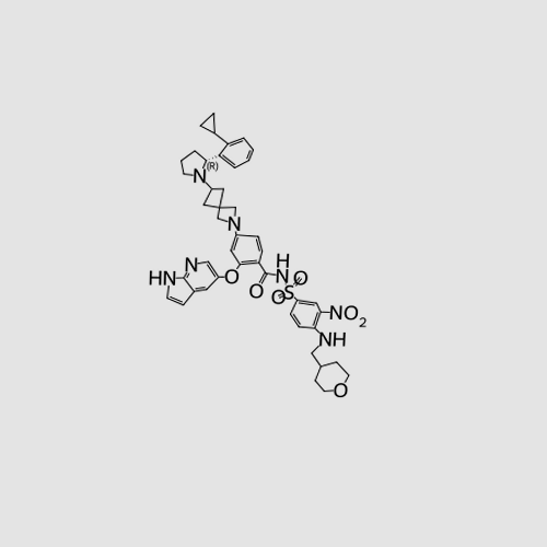 O=C(NS(=O)(=O)c1ccc(NCC2CCOCC2)c([N+](=O)[O-])c1)c1ccc(N2CC3(CC(N4CCC[C@@H]4c4ccccc4C4CC4)C3)C2)cc1Oc1cnc2[nH]ccc2c1